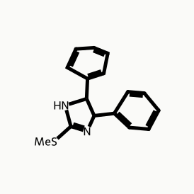 CSC1=NC(c2ccccc2)C(c2ccccc2)N1